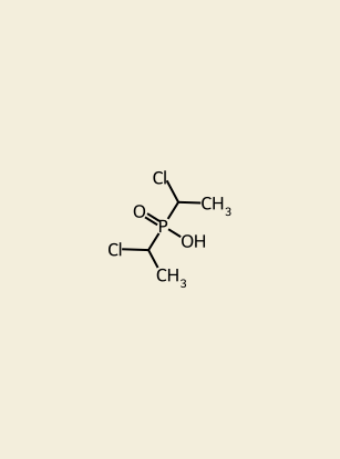 CC(Cl)P(=O)(O)C(C)Cl